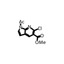 COC(=O)c1cc2ccn(C(C)=O)c2nc1Cl